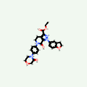 CCOC(=O)c1nn(-c2ccc3c(c2)CCO3)c2c1CCN(c1ccc(N3CCOCC3=O)cc1)C2=O